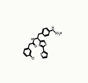 O=C(Cc1cccc(Cl)c1)NC(Cc1ccc(NS(=O)(=O)O)cc1)c1csc(-c2cccs2)n1